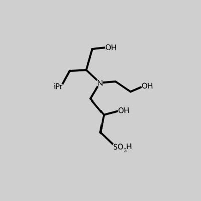 CC(C)CC(CO)N(CCO)CC(O)CS(=O)(=O)O